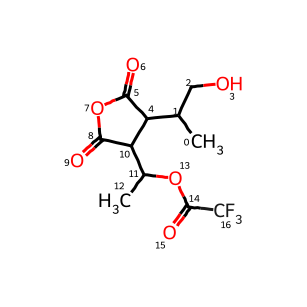 CC(CO)C1C(=O)OC(=O)C1C(C)OC(=O)C(F)(F)F